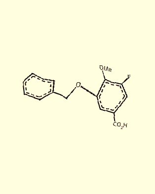 COc1c(F)cc(C(=O)O)cc1OCc1ccccc1